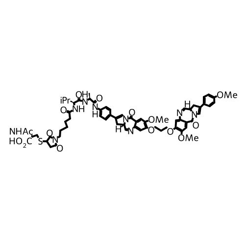 COc1ccc(C2=CN3C(=O)c4cc(OC)c(OCCCOc5cc6c(cc5OC)C(=O)N5C=C(c7ccc(NC(=O)[C@H](C)NC(=O)[C@@H](NC(=O)CCCCCN8C(=O)CC(SC[C@H](NC(C)=O)C(=O)O)C8=O)C(C)C)cc7)C[C@H]5C=N6)cc4N=C[C@@H]3C2)cc1